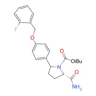 CC(C)COC(=O)N1C(c2ccc(OCc3ccccc3F)cc2)CC[C@H]1C(N)=O